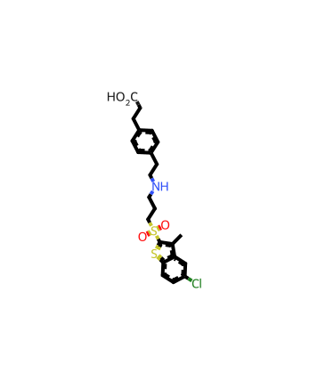 Cc1c(S(=O)(=O)CCCNCCc2ccc(CCC(=O)O)cc2)sc2ccc(Cl)cc12